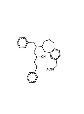 CC(=O)NCc1ccc2c(c1)CC(N(Cc1ccccc1)C[C@H](O)COc1ccccc1)CCC2